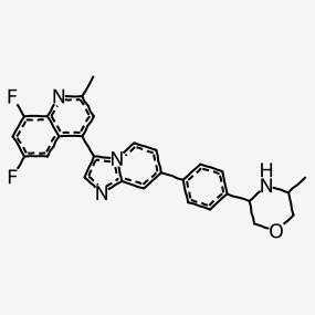 Cc1cc(-c2cnc3cc(-c4ccc(C5COCC(C)N5)cc4)ccn23)c2cc(F)cc(F)c2n1